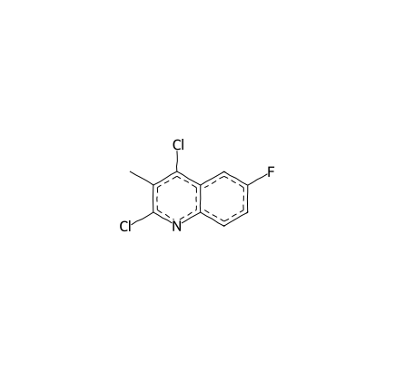 Cc1c(Cl)nc2ccc(F)cc2c1Cl